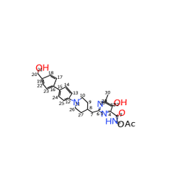 CC(=O)ONC(=O)c1nc(CC2CCN(c3ccc(-c4ccc(CO)cc4)cc3)CC2)nc(C)c1O